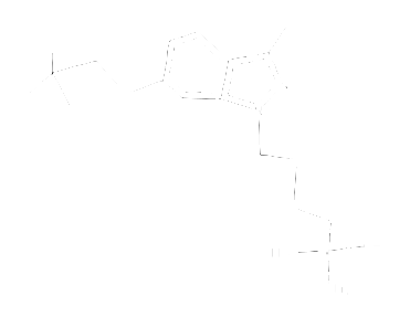 C[Si](C)(C)CCOCn1nc(I)c2ccc(OCC(F)(F)F)cc21